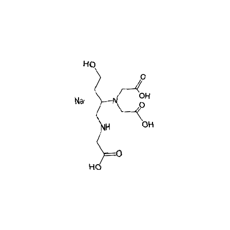 O=C(O)CNCC(CCO)N(CC(=O)O)CC(=O)O.[Na]